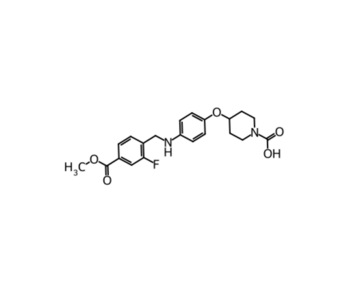 COC(=O)c1ccc(CNc2ccc(OC3CCN(C(=O)O)CC3)cc2)c(F)c1